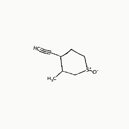 C#CC1CC[S+]([O-])CC1C